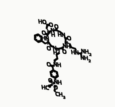 C#CP(=O)(Nc1ccc(C(=O)NCCCC[C@@H]2NC(=O)[C@@H](Cc3ccccc3)NC(=O)[C@H](CC(=O)O)NC(=O)CNC(=O)[C@H](CCCNC(N)N)NC2=O)cc1)OCC